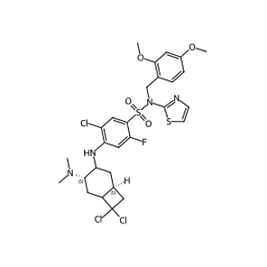 COc1ccc(CN(c2nccs2)S(=O)(=O)c2cc(Cl)c(NC3C[C@H]4CC(Cl)(Cl)C4C[C@@H]3N(C)C)cc2F)c(OC)c1